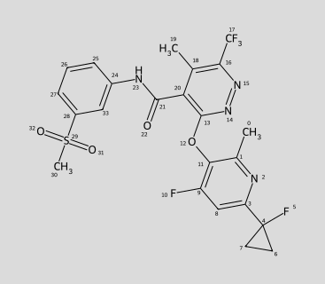 Cc1nc(C2(F)CC2)cc(F)c1Oc1nnc(C(F)(F)F)c(C)c1C(=O)Nc1cccc(S(C)(=O)=O)c1